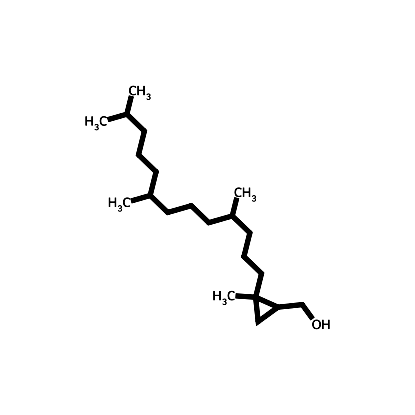 CC(C)CCCC(C)CCCC(C)CCCC1(C)CC1CO